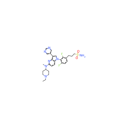 CCN1CCC(N(C)c2ccc3c(n2)c(-c2cncnc2)cn3-c2c(F)ccc(CCCS(N)(=O)=O)c2F)CC1